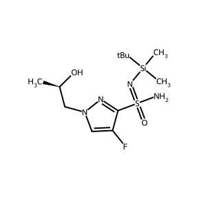 C[C@@H](O)Cn1cc(F)c(S(N)(=O)=N[Si](C)(C)C(C)(C)C)n1